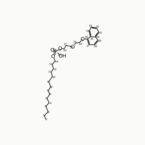 CCCCCCCCCCCCCCCOP(=O)(O)OCCOCCOc1cccc2ccccc12